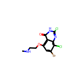 CNCCOc1cc(Br)c(Cl)c2nc(Cl)[nH]c(=O)c12